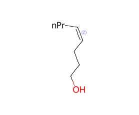 CCC/C=C\CCCO